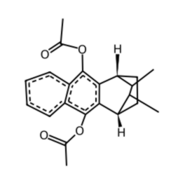 CC(=O)Oc1c2c(c(OC(C)=O)c3ccccc13)[C@@H]1CC[C@H]2C(C)C1C